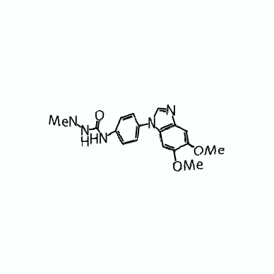 CNNC(=O)Nc1ccc(-n2cnc3cc(OC)c(OC)cc32)cc1